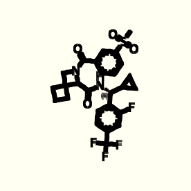 CS(=O)(=O)c1cccc(C(=O)N2CC3(CCC3)C2C(=O)N[C@@H](c2ccc(C(F)(F)F)cc2F)C2CC2)c1